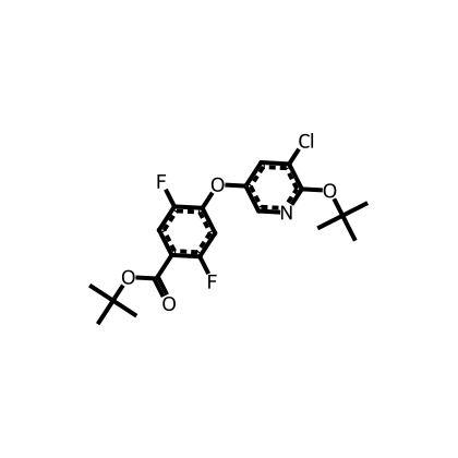 CC(C)(C)OC(=O)c1cc(F)c(Oc2cnc(OC(C)(C)C)c(Cl)c2)cc1F